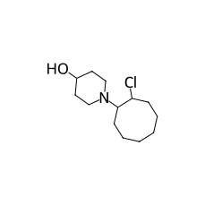 OC1CCN(C2CCCCCCC2Cl)CC1